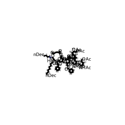 CCCCCCCCCCCCC/C=C/[C@H]1OC(=O)CCC(=O)OC[C@@H]2O[C@@H](OC[C@@H]1NC(=O)CCCCCCCCCCCCCCCCC)C(OC(=O)c1ccccc1)C(C)[C@@H]2O[C@@H]1OC(COC(=O)c2ccccc2)[C@H](O[C@@H]2OC(COC(C)=O)[C@H](C)[C@H](O[C@@H]3OC(COC(C)=O)[C@H](C)[C@H](C)C3NC(C)=O)C2NC(C)=O)[C@H](O[C@]2(C(=O)OC)CC(C)[C@@H](C)[C@H]([C@H](C)[C@@H](COC(C)=O)OC(C)=O)O2)C1C